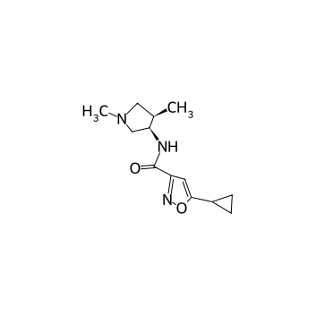 C[C@@H]1CN(C)C[C@@H]1NC(=O)c1cc(C2CC2)on1